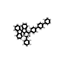 c1ccc(-c2ccc(-c3ccc(-c4nc(-c5ccccc5)nc5c4-c4ccccc4C54c5ccccc5-c5ccccc54)cc3)cc2)cc1